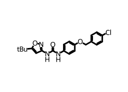 CC(C)(C)c1cc(NC(=O)Nc2ccc(OCc3ccc(Cl)cc3)cc2)no1